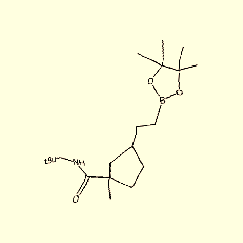 CC(C)(C)NC(=O)C1(C)CCC(CCB2OC(C)(C)C(C)(C)O2)C1